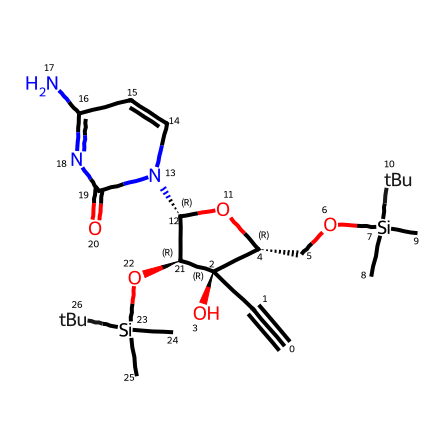 C#C[C@@]1(O)[C@@H](CO[Si](C)(C)C(C)(C)C)O[C@@H](n2ccc(N)nc2=O)[C@@H]1O[Si](C)(C)C(C)(C)C